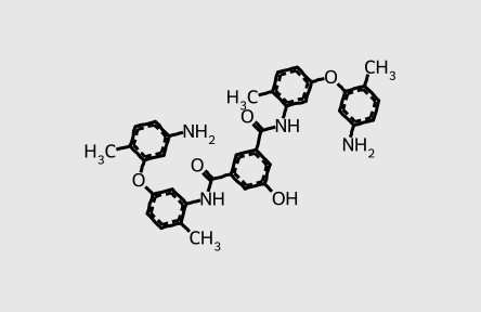 Cc1ccc(Oc2cc(N)ccc2C)cc1NC(=O)c1cc(O)cc(C(=O)Nc2cc(Oc3cc(N)ccc3C)ccc2C)c1